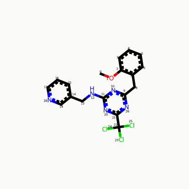 COc1ccccc1Cc1nc(NCc2cccnc2)nc(C(Cl)(Cl)Cl)n1